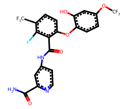 NC(=O)c1cc(NC(=O)c2c(Oc3ccc(OC(F)(F)F)cc3O)ccc(C(F)(F)F)c2F)ccn1